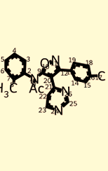 CC(=O)N(c1ccccc1C)c1onc(-c2ccc(Cl)cc2)c1-c1ccncn1